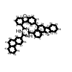 c1ccc(C2=NC(c3cccc4oc5ccc(-c6ccc7sc8ccccc8c7c6)cc5c34)NC(c3ccc4c(ccc5ccccc54)c3)N2)cc1